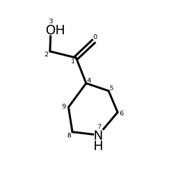 C=C(CO)C1CCNCC1